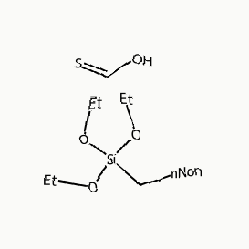 CCCCCCCCCC[Si](OCC)(OCC)OCC.OC=S